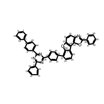 c1ccc(-c2ccc(-c3nc(-c4ccccc4)nc(-c4ccc(-c5cccc6c5oc5ccc7nc(-c8ccccc8)oc7c56)cc4)n3)cc2)cc1